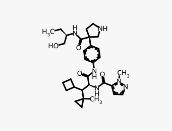 CC[C@H](CO)NC(=O)C1(c2ccc(NC(=O)[C@@H](NC(=O)c3ccnn3C)C(C3CCC3)C3(C)CC3)cc2)CCNC1